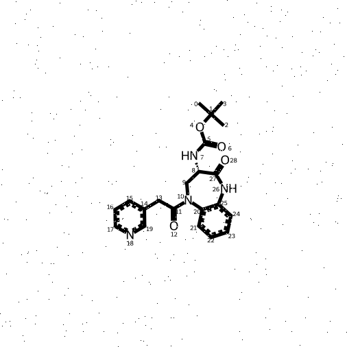 CC(C)(C)OC(=O)N[C@H]1CN(C(=O)Cc2cccnc2)c2ccccc2NC1=O